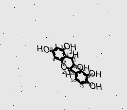 [2H]C1c2c(O)cc(O)cc2OC([2H])(c2ccc(O)c(O)c2)[C@H]1O